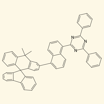 CC1(C)c2ccccc2C2(c3ccccc3-c3ccccc32)c2ccc(-c3cccc4c(-c5nc(-c6ccccc6)nc(-c6ccccc6)n5)cccc34)cc21